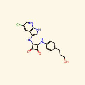 O=C1C(=O)C(Nc2c[nH]c3ncc(Cl)cc23)C1Nc1ccc(CCCO)cc1